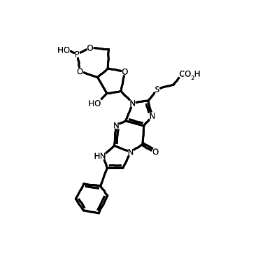 O=C(O)CSc1nc2c(=O)n3cc(-c4ccccc4)[nH]c3nc2n1C1OC2COP(O)OC2C1O